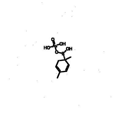 CC1=CCC(C)(B(O)O[As](=O)(O)O)C=C1